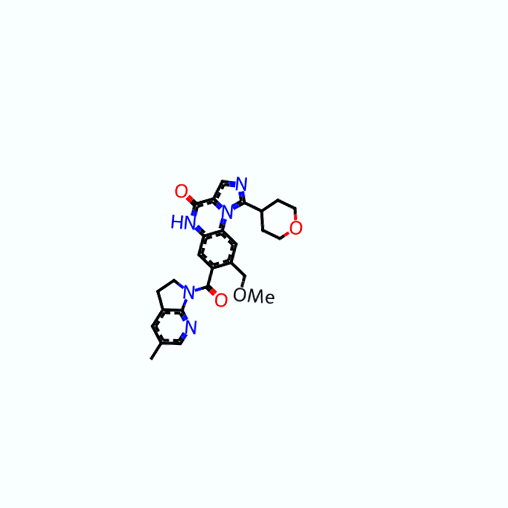 COCc1cc2c(cc1C(=O)N1CCc3cc(C)cnc31)[nH]c(=O)c1cnc(C3CCOCC3)n12